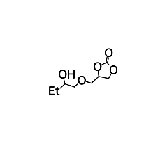 CCC(O)COCC1COC(=O)O1